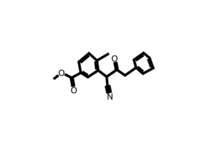 COC(=O)c1ccc(C)c(C(C#N)C(=O)Cc2ccccc2)c1